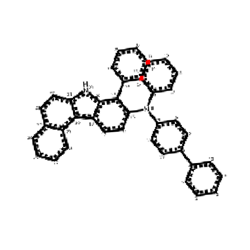 c1ccc(-c2ccc(N(c3ccccc3)c3ccc4c([nH]c5ccc6ccccc6c54)c3-c3ccccc3)cc2)cc1